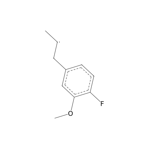 C[CH]Cc1ccc(F)c(OC)c1